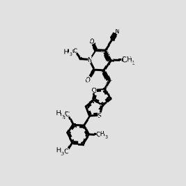 CCN1C(=O)C(C#N)=C(C)/C(=C/c2cc3sc(-c4c(C)cc(C)cc4C)cc3o2)C1=O